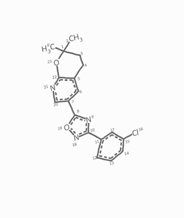 CC1(C)CCc2cc(-c3nc(-c4cccc(Cl)c4)no3)cnc2O1